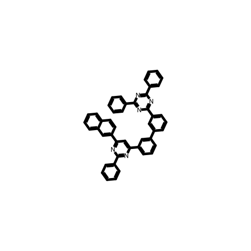 c1ccc(-c2nc(-c3cccc(-c4cccc(-c5nc(-c6ccccc6)nc(-c6ccccc6)n5)c4)c3)cc(-c3ccc4ccccc4c3)n2)cc1